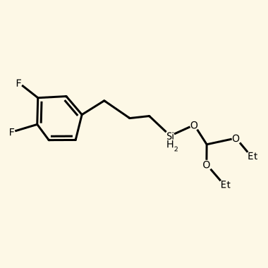 CCOC(OCC)O[SiH2]CCCc1ccc(F)c(F)c1